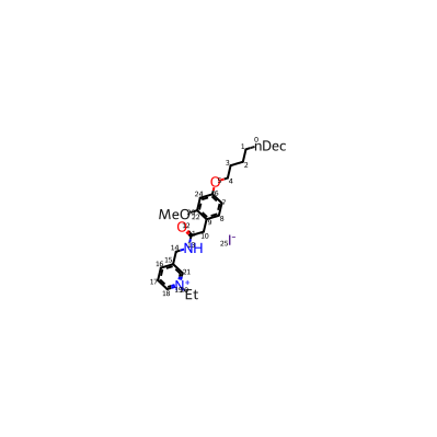 CCCCCCCCCCCCCCOc1ccc(CC(=O)NCc2ccc[n+](CC)c2)c(OC)c1.[I-]